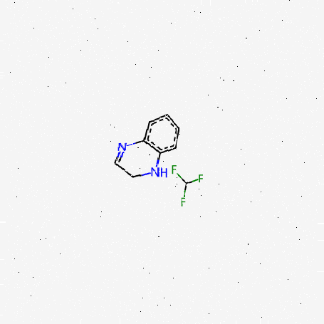 C1=Nc2ccccc2NC1.FC(F)F